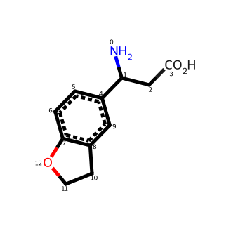 NC(CC(=O)O)c1ccc2c(c1)CCO2